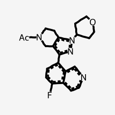 CC(=O)N1CCc2c(c(-c3ccc(F)c4ccncc34)nn2C2CCOCC2)C1